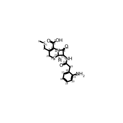 CSCC1=C(C(=O)O)N2C(=O)C(NC(=O)Cc3ccccc3N)[C@H]2SC1